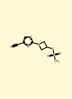 CS(=O)(=O)OC1CN(c2nc(C#N)cs2)C1